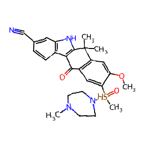 COc1cc2c(cc1[SH](C)(=O)N1CCN(C)CC1)C(=O)c1c([nH]c3cc(C#N)ccc13)C2(C)C